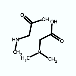 CN(C)CC(=O)O.CNCC(=O)O